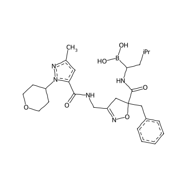 Cc1cc(C(=O)NCC2=NOC(Cc3ccccc3)(C(=O)NC(CC(C)C)B(O)O)C2)n(C2CCOCC2)n1